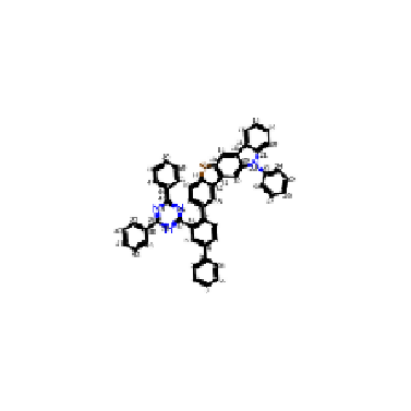 c1ccc(-c2ccc(-c3ccc4sc5cc6c7ccccc7n(-c7ccccc7)c6cc5c4c3)c(-c3nc(-c4ccccc4)nc(-c4ccccc4)n3)c2)cc1